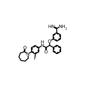 N=C(N)c1cccc(OC(C(=O)Nc2ccc(N3CCCCCC3=O)c(F)c2)c2ccccc2)c1